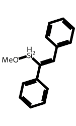 CO[SiH2]C(=Cc1ccccc1)c1ccccc1